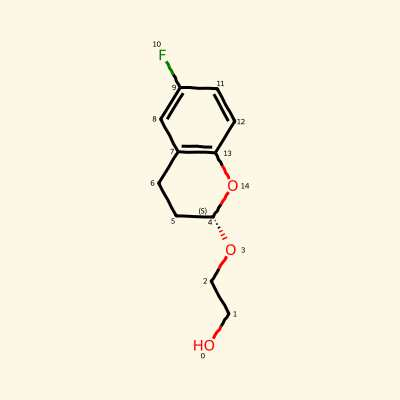 OCCO[C@@H]1CCc2cc(F)ccc2O1